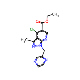 CCOC(=O)c1cnc2c(c(C)nn2Cc2cnccn2)c1Cl